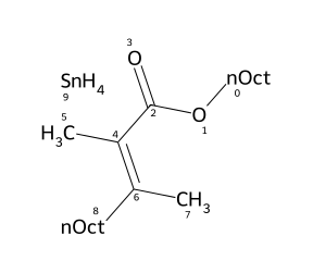 CCCCCCCCOC(=O)C(C)=C(C)CCCCCCCC.[SnH4]